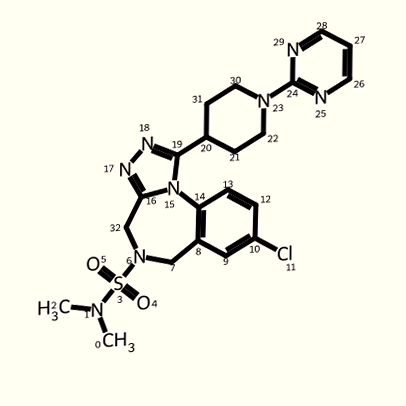 CN(C)S(=O)(=O)N1Cc2cc(Cl)ccc2-n2c(nnc2C2CCN(c3ncccn3)CC2)C1